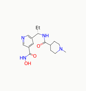 CC[C@H](NC(=O)C1CCN(C)CC1)c1cncc(C(=O)NO)c1